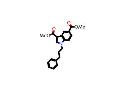 COC(=O)c1ccc2c(c1)c(C(=O)OC)cn2CCCc1ccccc1